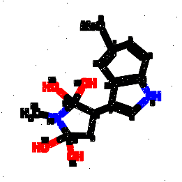 COc1ccc2[nH]cc(C3CC(O)(O)N(C)C3(O)O)c2c1